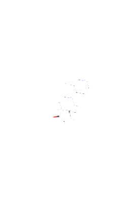 NC1CNCCC1N1CCN2C(=O)CC[C@H]2C1